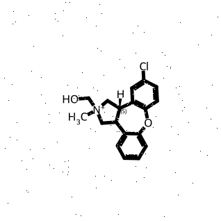 C[N+]1(CO)CC2c3ccccc3Oc3ccc(Cl)cc3[C@H]2C1